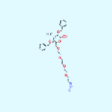 C[C@@H]1C(OCc2ccccc2)C(O)OC(COCCOCCOCCOCCN=[N+]=[N-])[C@@H]1OCc1ccccc1